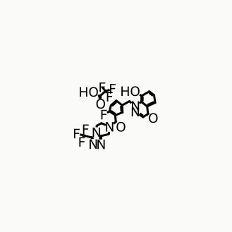 O=C(O)C(F)(F)F.O=C(c1cc(Cn2ncc(=O)c3cccc(O)c32)ccc1F)N1CCn2c(nnc2C(F)(F)F)C1